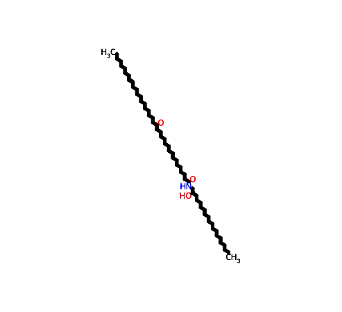 CCCCCCCCC=CCCCCCCCCCCCC(=O)CCCCCCCCCCCCCCCC(=O)NC[C@H](O)CCCCCCCCCCCCCCCCCC